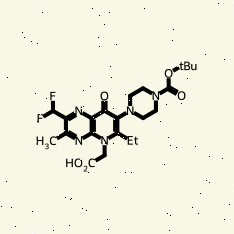 CCc1c(N2CCN(C(=O)OC(C)(C)C)CC2)c(=O)c2nc(C(F)F)c(C)nc2n1CC(=O)O